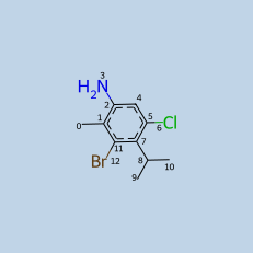 Cc1c(N)cc(Cl)c(C(C)C)c1Br